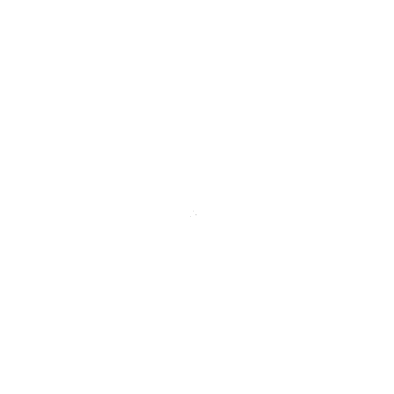 [Ce].[O]=[Ti].[W]